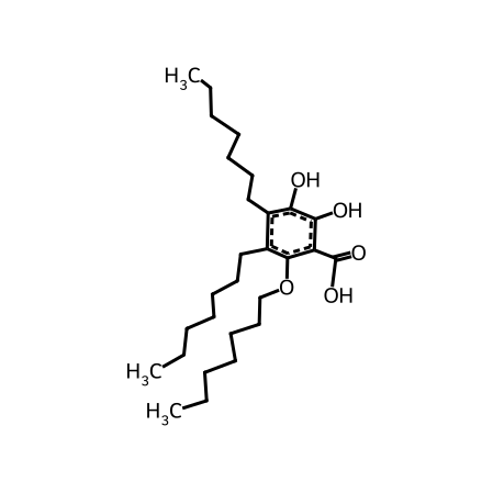 CCCCCCCOc1c(CCCCCCC)c(CCCCCCC)c(O)c(O)c1C(=O)O